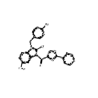 COc1ccc2c(c1)c(C(=O)c1cnc(-c3ccncn3)o1)c(Cl)n2Cc1ccc(Cl)cc1